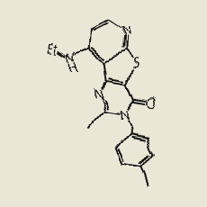 CCNc1ccnc2sc3c(=O)n(-c4ccc(C)cc4)c(C)nc3c12